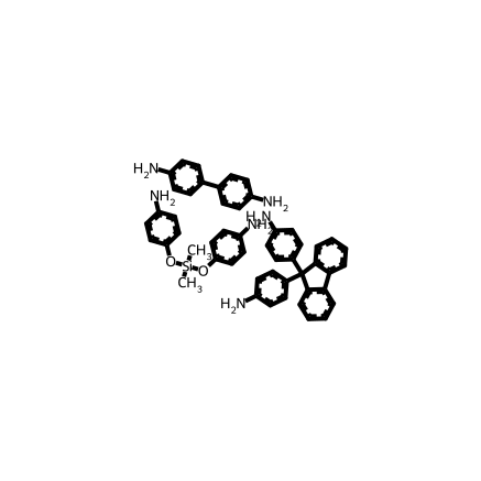 C[Si](C)(Oc1ccc(N)cc1)Oc1ccc(N)cc1.Nc1ccc(-c2ccc(N)cc2)cc1.Nc1ccc(C2(c3ccc(N)cc3)c3ccccc3-c3ccccc32)cc1